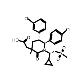 C[C@@]1(CC(=O)O)C[C@H](c2cccc(Cl)c2)[C@@H](c2ccc(Cl)cc2)N([C@H](CS(C)(=O)=O)C2CC2)C1=O